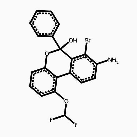 Nc1ccc2c(c1Br)C(O)(c1ccccc1)Oc1cccc(OC(F)F)c1-2